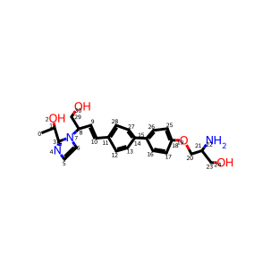 CC(O)c1nccn1C(/C=C/c1ccc(-c2ccc(OCC(N)CO)cc2)cc1)CO